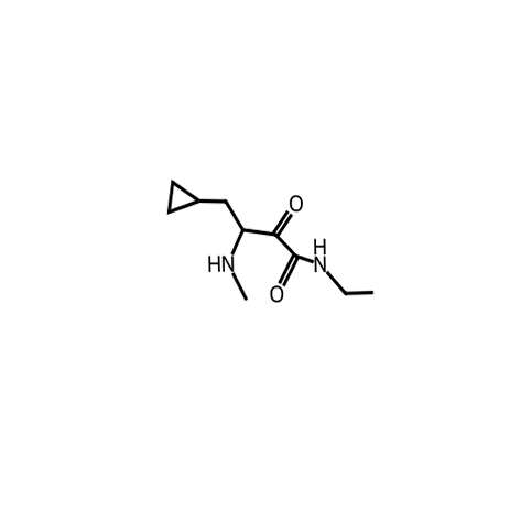 CCNC(=O)C(=O)C(CC1CC1)NC